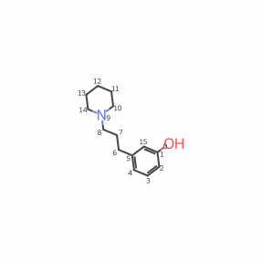 Oc1cccc(CCCN2CCCCC2)c1